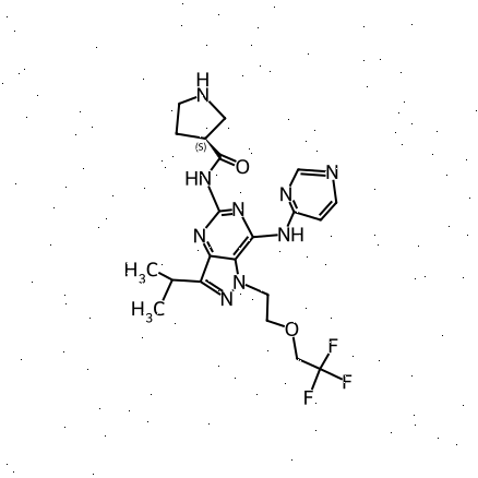 CC(C)c1nn(CCOCC(F)(F)F)c2c(Nc3ccncn3)nc(NC(=O)[C@H]3CCNC3)nc12